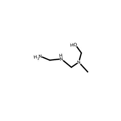 CN(CO)CNCN